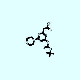 CC(C)(C)OC(=O)Oc1cc(N2CCOCC2)nc(CC(=O)O)n1